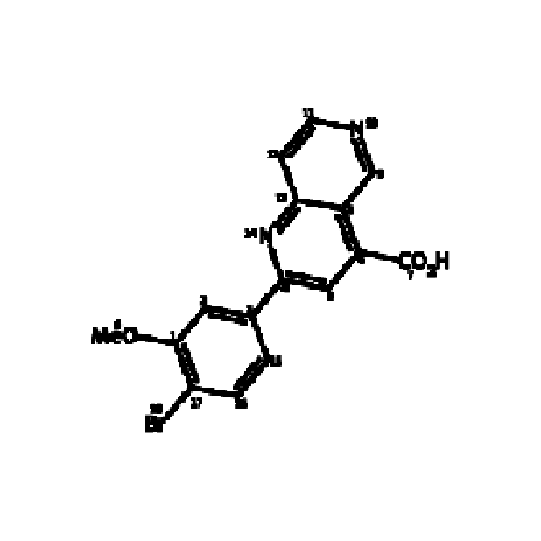 COc1cc(-c2cc(C(=O)O)c3cnccc3n2)ccc1Br